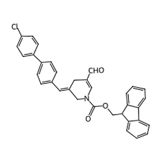 O=CC1=CN(C(=O)OCC2c3ccccc3-c3ccccc32)CC(=Cc2ccc(-c3ccc(Cl)cc3)cc2)C1